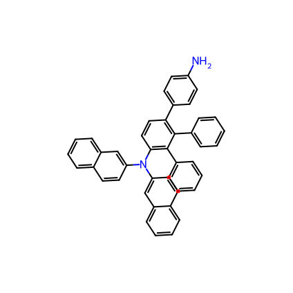 Nc1ccc(-c2ccc(N(c3ccc4ccccc4c3)c3ccc4ccccc4c3)c(-c3ccccc3)c2-c2ccccc2)cc1